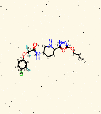 O=C(N[C@H]1CC[C@H](c2nnc(OCCC(F)(F)F)o2)NC1)C(F)(F)Oc1ccc(Cl)c(F)c1